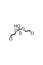 O=P(O)(OCCCl)OCCCl